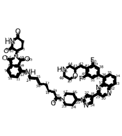 O=C1CCC(N2C(=O)c3cccc(NCCCCCCC(=O)N4CCC(n5cc(-c6cnc7cccc(-c8cc(F)c(CC9CNCCO9)c(F)c8)c7n6)cn5)CC4)c3C2=O)C(=O)N1